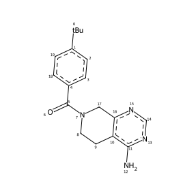 CC(C)(C)c1ccc(C(=O)N2CCc3c(N)ncnc3C2)cc1